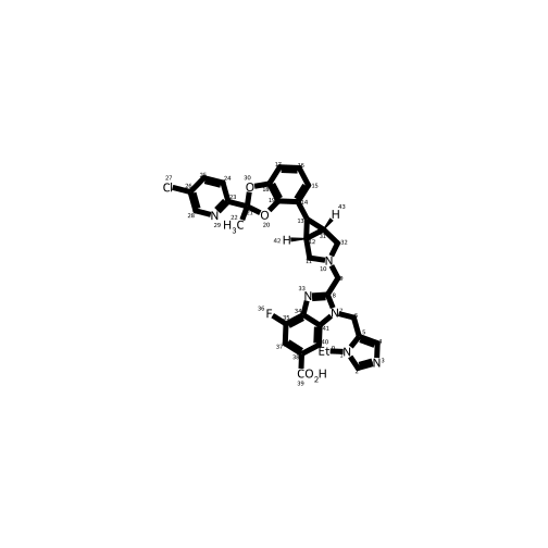 CCn1cncc1Cn1c(CN2C[C@@H]3C(c4cccc5c4OC(C)(c4ccc(Cl)cn4)O5)[C@@H]3C2)nc2c(F)cc(C(=O)O)cc21